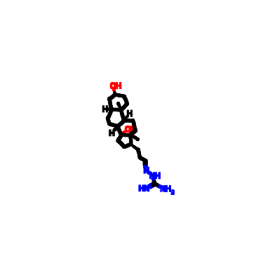 C[C@]12CC[C@H](O)C[C@H]1CC[C@@H]1[C@@H]2CC[C@]2(C)[C@@H](CC/C=N/NC(=N)N)CC[C@]12O